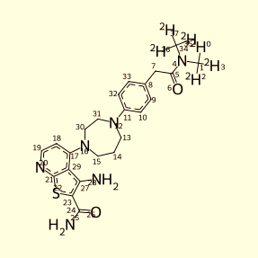 [2H]C([2H])([2H])N(C(=O)Cc1ccc(N2CCCN(c3ccnc4sc(C(N)=O)c(N)c34)CC2)cc1)C([2H])([2H])[2H]